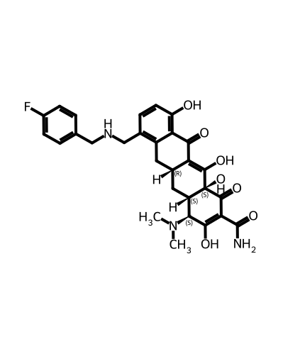 CN(C)[C@@H]1C(O)=C(C(N)=O)C(=O)[C@@]2(O)C(O)=C3C(=O)c4c(O)ccc(CNCc5ccc(F)cc5)c4C[C@H]3C[C@@H]12